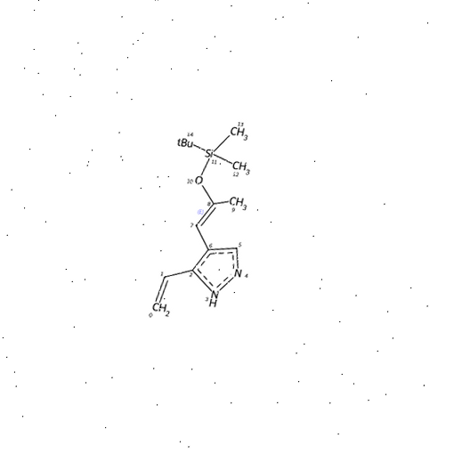 C=Cc1[nH]ncc1/C=C(\C)O[Si](C)(C)C(C)(C)C